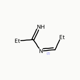 CC/C=N\C(=N)CC